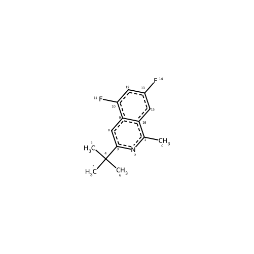 Cc1nc(C(C)(C)C)cc2c(F)cc(F)cc12